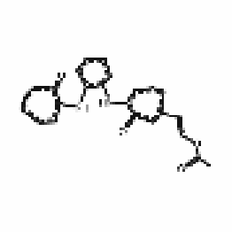 CC(=O)O/C=C/c1cccc(Nc2ccccc2Nc2cccccc2=O)c(=O)c1